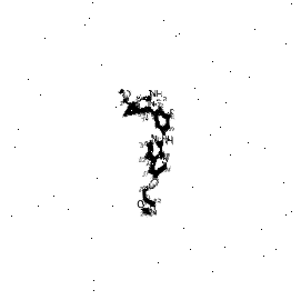 COC[C@]12C[C@H]1[C@](C)(c1cc(Nc3nccc4cc(OCc5cnco5)cnc34)cc(F)c1F)N=C(N)S2